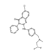 CN(Cc1ccc(Nc2nc3ccc(Cl)cc3c(=O)n2-c2ccccc2)cc1)CC(F)F